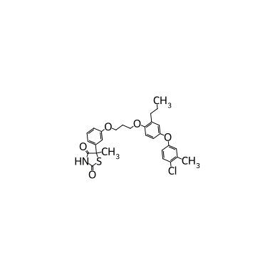 CCCc1cc(Oc2ccc(Cl)c(C)c2)ccc1OCCCOc1cccc(C2(C)SC(=O)NC2=O)c1